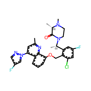 Cc1cc(-n2cc(F)cn2)c2cccc(OCc3c(Cl)cc(F)cc3[C@H](C)N3CCN(C)[C@@H](C)C3=O)c2n1